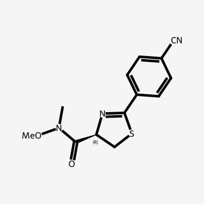 CON(C)C(=O)[C@@H]1CSC(c2ccc(C#N)cc2)=N1